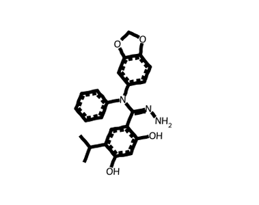 CC(C)c1cc(C(=NN)N(c2ccccc2)c2ccc3c(c2)OCO3)c(O)cc1O